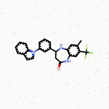 Cc1cc2c(cc1C(F)(F)F)NC(=O)CC(c1cccc(-n3ccc4ccccc43)c1)N2